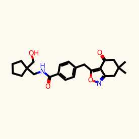 CC1(C)CC(=O)c2c(noc2Cc2ccc(C(=O)NCC3(CO)CCCC3)cc2)C1